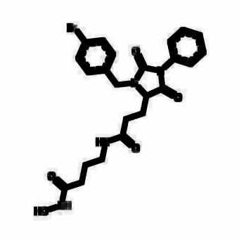 O=C(CCCNC(=O)CCC1C(=O)N(c2ccccc2)C(=O)N1Cc1ccc(Br)cc1)NO